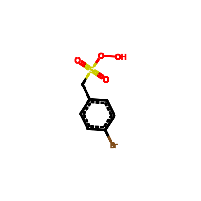 O=S(=O)(Cc1ccc(Br)cc1)OO